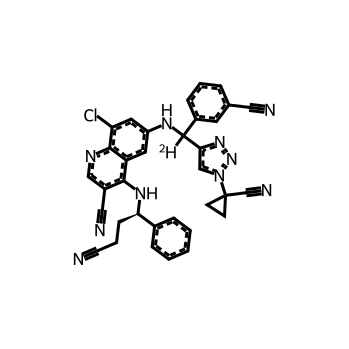 [2H]C(Nc1cc(Cl)c2ncc(C#N)c(N[C@H](CCC#N)c3ccccc3)c2c1)(c1cccc(C#N)c1)c1cn(C2(C#N)CC2)nn1